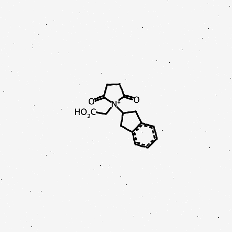 O=C(O)C[N+]1(C2Cc3ccccc3C2)C(=O)CCC1=O